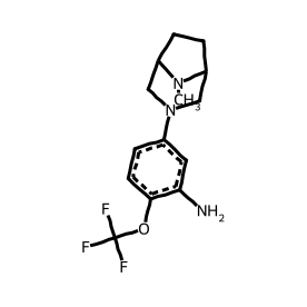 CN1C2CCC1CN(c1ccc(OC(F)(F)F)c(N)c1)C2